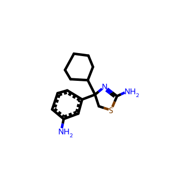 NC1=NC(c2cccc(N)c2)(C2CCCCC2)CS1